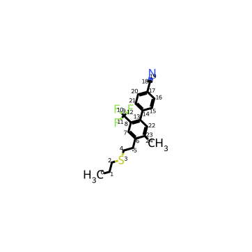 CCCSC[CH]c1cc(C(F)(F)F)c(-c2ccc(C#N)cc2)cc1C